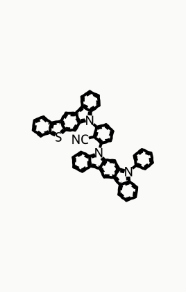 N#Cc1c(-n2c3ccccc3c3cc4c(cc32)sc2ccccc24)cccc1-n1c2ccccc2c2cc3c4ccccc4n(-c4ccccc4)c3cc21